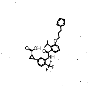 CC(C)c1c(OCCCc2ccccc2)cccc1C(=O)Nc1cc([C@H]2C[C@H]2C(=O)O)ccc1C(F)(F)F